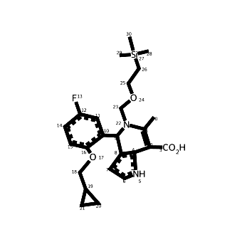 CC1=C(C(=O)O)c2[nH]ccc2C(c2cc(F)ccc2OCC2CC2)N1COCC[Si](C)(C)C